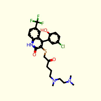 CN(C)CCN(C)CCCC(=O)CSc1c(-c2cc(Cl)ccc2O)c2cc(C(F)(F)F)ccc2[nH]c1=O